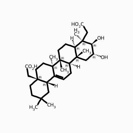 CC1(C)CC[C@]2(CC(=O)O)CC[C@]3(C)C(=CC[C@@H]4[C@@]5(C)C[C@@H](O)[C@H](O)[C@](C)(CC(=O)O)[C@@H]5CC[C@]43C)[C@@H]2C1